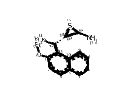 CCOc1ccc2ccccc2c1C(N)[C@@H]1SC1N